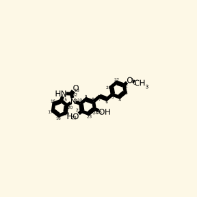 COc1ccc(C=Cc2cc(-n3c(=O)[nH]c4ccccc43)c(O)cc2O)cc1